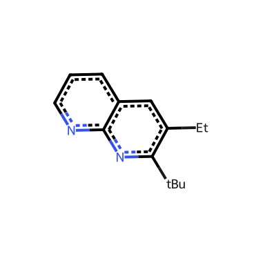 CCc1cc2cccnc2nc1C(C)(C)C